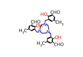 Cc1cc(C=O)c(O)c(CN2CCN(Cc3cc(C)cc(C=O)c3O)CCN(Cc3cc(C)cc(C=O)c3O)CC2)c1